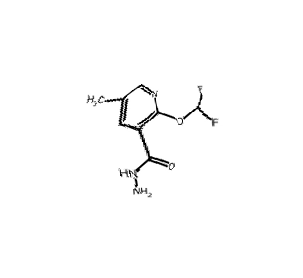 Cc1cnc(OC(F)F)c(C(=O)NN)c1